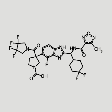 Cc1nonc1C(=O)N[C@H](c1nc2c(F)c([C@]3(C(=O)N4CC(F)(F)C(F)(F)C4)CCN(C(=O)O)C3)ccc2[nH]1)C1CCC(F)(F)CC1